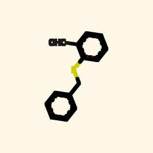 O=Cc1ccccc1SCc1ccccc1